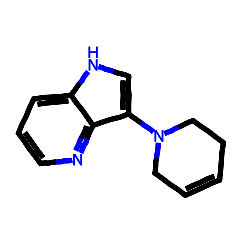 C1=CCN(c2c[nH]c3cccnc23)CC1